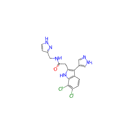 O=C(Cc1[nH]c2c(Cl)c(Cl)ccc2c1-c1cn[nH]c1)NCc1cc[nH]n1